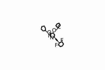 Fc1cccc(F)c1C#Cc1cc(OCc2ccccc2)c(OCc2ccccc2)nn1